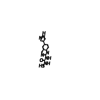 O=C(NS)Nc1ncc2cc(-c3cn[nH]c3)ccc2n1